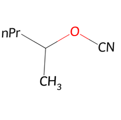 CCCC(C)OC#N